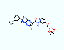 CC1(C)OC[C@@H](COc2ccnc(NC(=O)C3C[C@H]4CN3C3=CN=C(c5cccc(C(F)(F)F)c5)NC3=N4)c2)O1